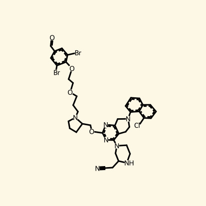 N#CCC1CN(c2nc(OCC3CCCN3CCCOCCOc3c(Br)cc(C=O)cc3Br)nc3c2CCN(c2cccc4cccc(Cl)c24)C3)CCN1